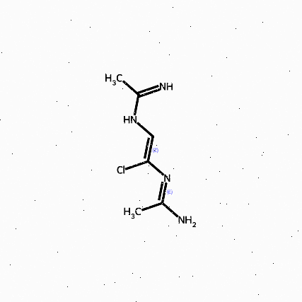 CC(=N)N/C=C(Cl)/N=C(\C)N